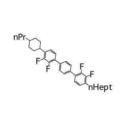 CCCCCCCc1ccc(-c2ccc(-c3ccc(C4CCC(CCC)CC4)c(F)c3F)cc2)c(F)c1F